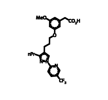 CCCc1nn(-c2ccc(C(F)(F)F)cn2)cc1CCCOc1cc(CC(=O)O)cc(OC)c1